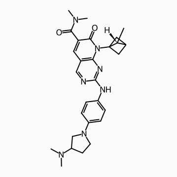 C[C@@H]1C2CC1(n1c(=O)c(C(=O)N(C)C)cc3cnc(Nc4ccc(N5CCC(N(C)C)C5)cc4)nc31)C2